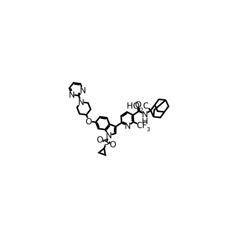 O=C(NC1(C(=O)O)C2CC3CC(C2)CC1C3)c1ccc(-c2cn(S(=O)(=O)C3CC3)c3cc(OC4CCN(c5ncccn5)CC4)ccc23)nc1C(F)(F)F